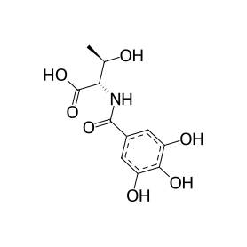 C[C@@H](O)[C@H](NC(=O)c1cc(O)c(O)c(O)c1)C(=O)O